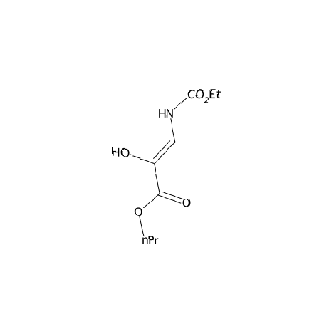 CCCOC(=O)C(O)=CNC(=O)OCC